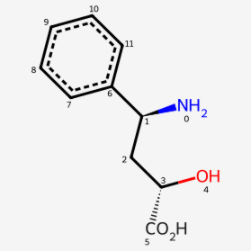 N[C@@H](C[C@H](O)C(=O)O)c1ccccc1